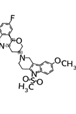 COc1ccc2c(c1)c1c(n2S(C)(=O)=O)CCN([C@H]2CO[C@H](c3cc(F)ccc3F)[C@@H](N)C2)C1